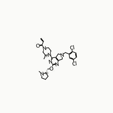 C=CC(=O)N1CCN(c2nc(OC[C@@H]3CCCN3C)nc3c2CN(Cc2cc(Cl)ccc2Cl)C3)[C@@H](C)C1